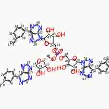 CC(C)c1cccc(-c2ncnc3c2ncn3[C@@H]2O[C@H](COP(=O)(OC[C@H]3O[C@@H](n4cnc5c(-c6cccc(C(C)C)c6)ncnc54)[C@H](O)[C@@H]3O)OC[C@H]3O[C@@H](n4cnc5c(-c6cccc(C(C)C)c6)ncnc54)[C@H](O)[C@@H]3O)[C@@H](O)[C@H]2O)c1